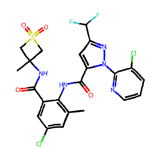 Cc1cc(Cl)cc(C(=O)NC2(C)CS(=O)(=O)C2)c1NC(=O)c1cc(C(F)F)nn1-c1ncccc1Cl